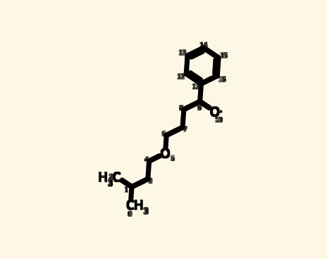 CC(C)CCOCCCC([O])c1ccccc1